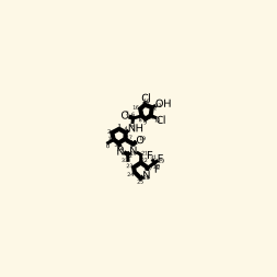 Cc1ccc(NC(=O)c2cc(Cl)c(O)c(Cl)c2)c2c(=O)n(Cc3cccnc3C(F)(F)F)c(C)nc12